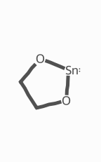 C1C[O][Sn][O]1